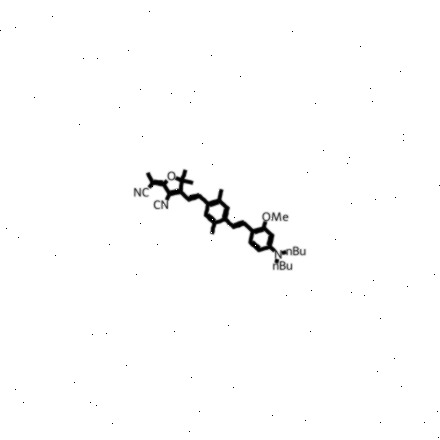 [C-]#[N+]C1=C(/C=C/c2cc(C)c(/C=C/c3ccc(N(CCCC)CCCC)cc3OC)cc2C)C(C)(C)O/C1=C(\C)C#N